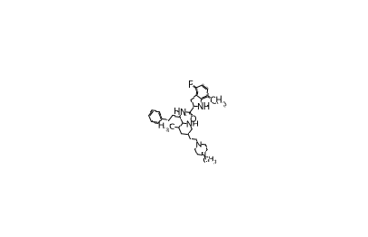 Cc1ccc(F)c2c1NC(C(=O)NC(CCc1ccccc1)C1NCC(CCN3CCN(C)CC3)CC1C)C2